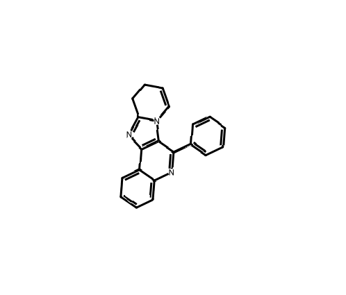 C1=Cn2c(nc3c4ccccc4nc(-c4ccccc4)c32)CC1